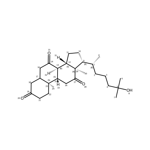 C[C@H](CCCC(C)(C)O)[C@H]1CC[C@H]2[C@@H]3C(=O)CC4CC(=O)CC[C@]4(C)[C@H]3CC(=O)[C@]12C